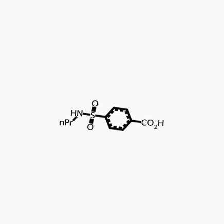 CCCNS(=O)(=O)c1ccc(C(=O)O)cc1